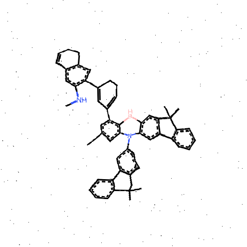 CNc1cc2c(cc1C1=CC(c3cc(C)cc4c3Bc3cc5c(cc3N4c3ccc4c(c3)-c3ccccc3C4(C)C)-c3ccccc3C5(C)C)=CCC1)CCC=C2